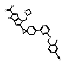 N#Cc1ccc(COc2cccc(C3=CCC4(CC3)CC4c3nc4[nH]c(C(=O)O)cc4n3C[C@@H]3CCO3)n2)c(F)c1